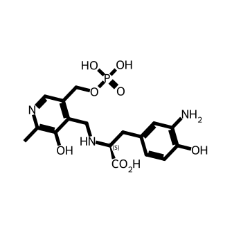 Cc1ncc(COP(=O)(O)O)c(CN[C@@H](Cc2ccc(O)c(N)c2)C(=O)O)c1O